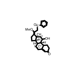 COC(C[S+]([O-])c1ccccc1)=C1CC[C@H]2[C@@H]3CCC4=CC(=O)CC[C@]4(C)[C@H]3C(O)C[C@]12C